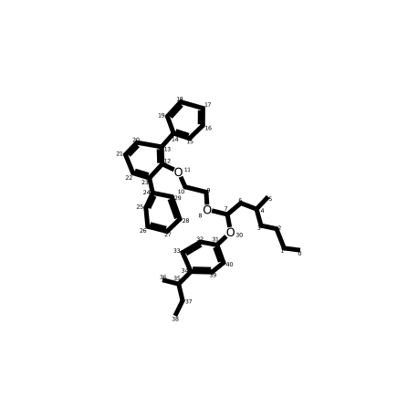 CCCCC(C)CC(OCCOc1c(-c2ccccc2)cccc1-c1ccccc1)Oc1ccc(C(C)CC)cc1